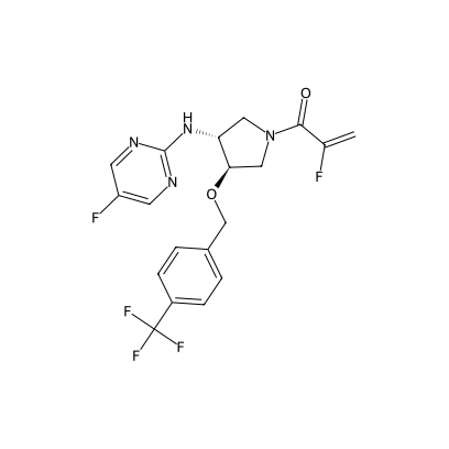 C=C(F)C(=O)N1C[C@@H](Nc2ncc(F)cn2)[C@H](OCc2ccc(C(F)(F)F)cc2)C1